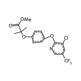 COC(=O)C(C)(C)Oc1ccc(Oc2ncc(C(F)(F)F)cc2Cl)cc1